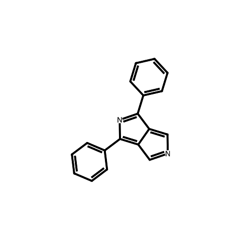 C1=NC=C2C(c3ccccc3)=NC(c3ccccc3)=C12